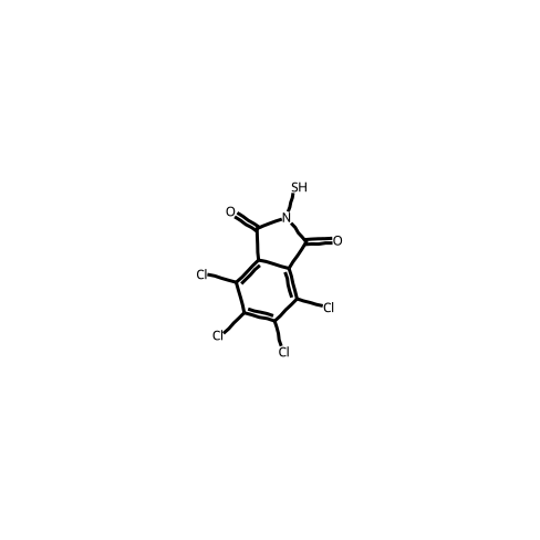 O=C1c2c(Cl)c(Cl)c(Cl)c(Cl)c2C(=O)N1S